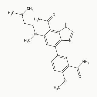 COc1ccc(-c2cc(N(C)CCN(C)C)c(C(N)=O)c3[nH]cnc23)cc1C(N)=O